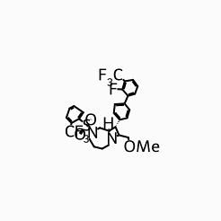 COCC1[C@@H](c2ccc(-c3cccc(C(F)(F)F)c3F)cc2)[C@@H]2CN(S(=O)(=O)c3ccccc3C(F)(F)F)CCCCN12